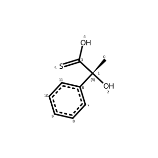 C[C@](O)(C(O)=S)c1ccccc1